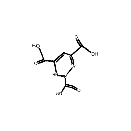 O=C(O)C1=CC(C(=O)O)=NN(C(=O)O)N1